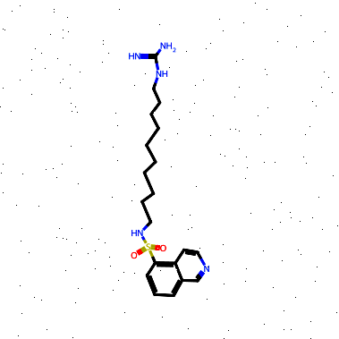 N=C(N)NCCCCCCCCCCNS(=O)(=O)c1cccc2cnccc12